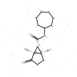 O=C1CC[C@H]2[C@@H]1[C@@H]2C(=O)OC1CCCCCC1